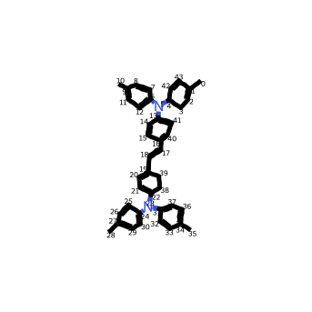 CC1=CCC(N(c2ccc(C)cc2)c2ccc(/C=C/C3=CC=C(N(c4ccc(C)cc4)c4ccc(C)cc4)CC3)cc2)C=C1